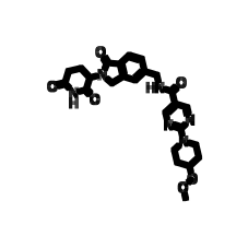 COOC1CCN(c2ncc(C(=O)NCc3ccc4c(c3)CN(C3CCC(=O)NC3=O)C4=O)cn2)CC1